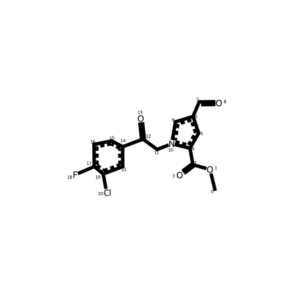 COC(=O)c1cc(C=O)cn1CC(=O)c1ccc(F)c(Cl)c1